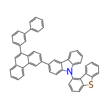 c1ccc(-c2cccc(-c3cc4ccccc4c4cc(-c5ccc6c(c5)c5ccccc5n6-c5cccc6sc7ccccc7c56)ccc34)c2)cc1